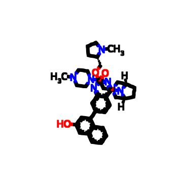 CN1CCN(C(=O)CN2C[C@H]3CC[C@@H](C2)N3c2nc(OC[C@@H]3CCCN3C)nc3cc(-c4cc(O)cc5ccccc45)ccc23)CC1